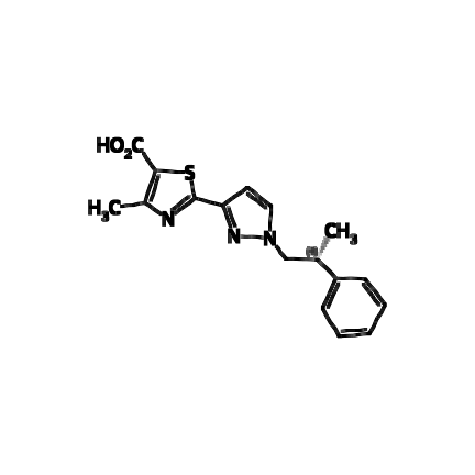 Cc1nc(-c2ccn(C[C@H](C)c3ccccc3)n2)sc1C(=O)O